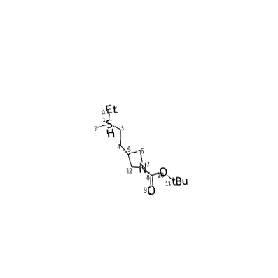 CC[SH](C)CCC1CN(C(=O)OC(C)(C)C)C1